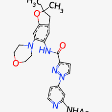 CC(=O)Nc1cc(-n2ccc(C(=O)Nc3cc4c(cc3N3CCOCC3)OC(C)(C)C4)n2)ccn1